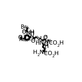 N[C@@H](CCC(=O)N[C@@H](CSCC(=O)Nc1ccc([As]=O)cc1NC(=O)CBr)C(=O)NCC(=O)O)C(=O)O